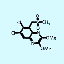 COc1nc2cc(Cl)c(Cl)c(CS(C)(=O)=O)c2nc1OC